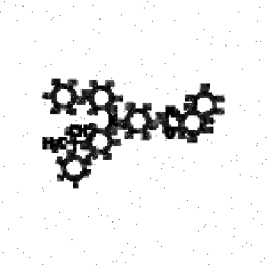 CC1(C)c2ccccc2-c2ccc(N(c3ccc(-c4nc5c(ccc6ccccc65)o4)cc3)c3cccc(-c4ccccc4)c3)cc21